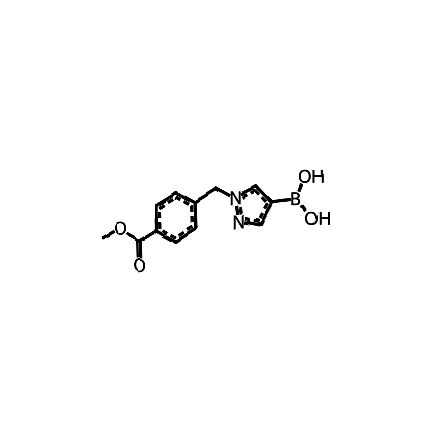 COC(=O)c1ccc(Cn2cc(B(O)O)cn2)cc1